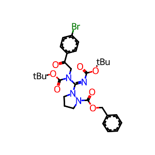 CC(C)(C)OC(=O)/N=C(\N(CC(=O)c1ccc(Br)cc1)C(=O)OC(C)(C)C)N1CCCN1C(=O)OCc1ccccc1